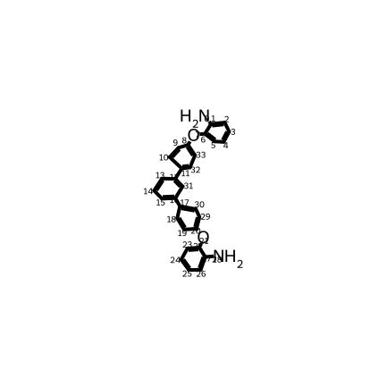 Nc1ccccc1Oc1ccc(-c2cccc(-c3ccc(Oc4ccccc4N)cc3)c2)cc1